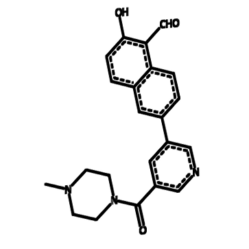 CN1CCN(C(=O)c2cncc(-c3ccc4c(C=O)c(O)ccc4c3)c2)CC1